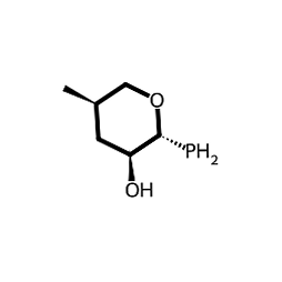 C[C@H]1CO[C@H](P)[C@@H](O)C1